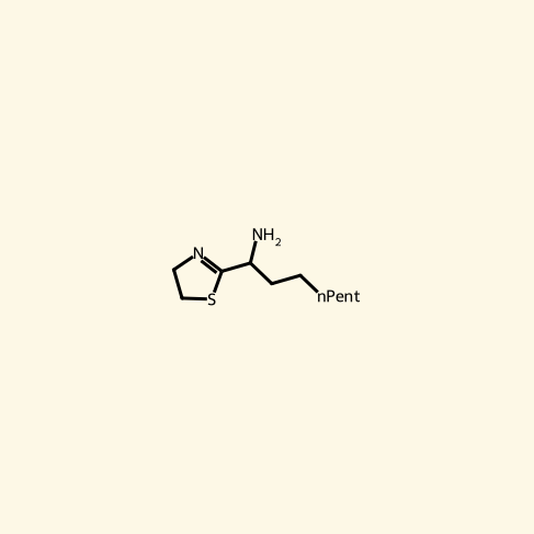 CCCCCCCC(N)C1=NCCS1